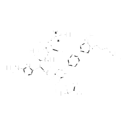 C[n+]1cc(-c2ccc(OCC(C)(ON=C(C(=O)NC3C(=O)N(OS(=O)(=O)O)C3(C)C)c3csc(N)n3)C(=O)O)cc2)cn1CCCN.O=C([O-])C(F)(F)F